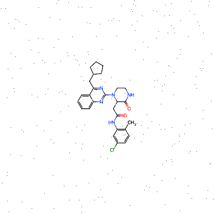 Cc1ccc(Cl)cc1NC(=O)CC1C(=O)NCCN1c1nc(CC2CCCC2)c2ccccc2n1